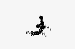 C[C@@H](C1CCN(c2ccc3c(-c4ccc(OCc5ccccc5)nc4OCc4ccccc4)nn(C)c3c2F)CC1)N1CCC2(CCN(C(=O)OC(C)(C)C)CC2)CC1